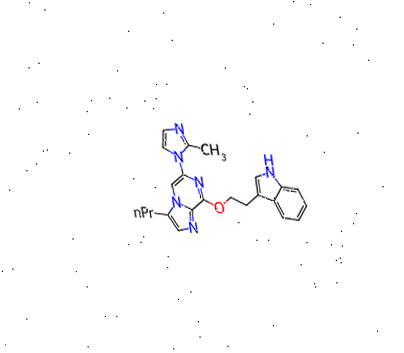 CCCc1cnc2c(OCCc3c[nH]c4ccccc34)nc(-n3ccnc3C)cn12